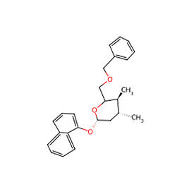 C[C@@H]1C[C@H](Oc2cccc3ccccc23)OC(COCc2ccccc2)[C@H]1C